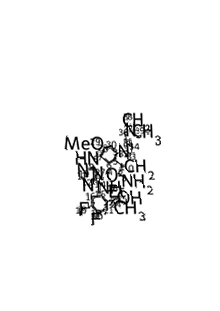 C=C(C(N)=O)c1cc(Nc2ncnc(Nc3cc(F)c(F)cc3C(C)(O)CC)n2)c(OC)cc1N1CC[C@@H]1CN(C)C